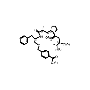 CC[C@H](C)[C@H](C)[C@@H](CC(=O)N1CCC[C@H]1[C@H](OC)[C@@H](C)C(=O)N[C@H](COCc1ccc(C(=O)OC)cc1)Cc1ccccc1)OC